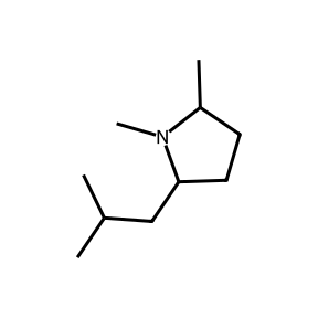 CC(C)CC1CCC(C)N1C